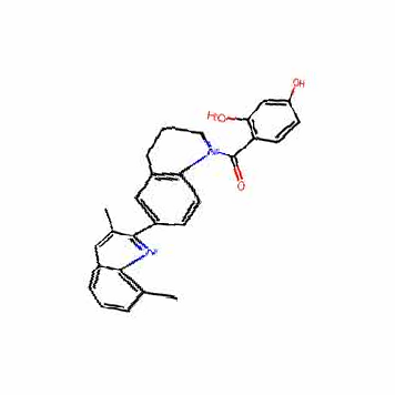 Cc1cc2cccc(C)c2nc1-c1ccc2c(c1)CCCN2C(=O)c1ccc(O)cc1O